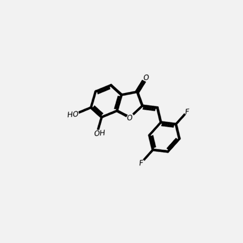 O=C1C(=Cc2cc(F)ccc2F)Oc2c1ccc(O)c2O